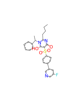 CCCCc1nc(=O)c(S(=O)(=O)c2ccc(-c3cncc(F)c3)cc2)c(O)n1C(C)c1ccccc1